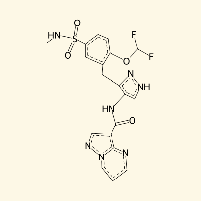 CNS(=O)(=O)c1ccc(OC(F)F)c(Cc2n[nH]cc2NC(=O)c2cnn3cccnc23)c1